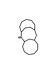 C1CCCC2CC(CC1)NC1CCCCCC(CC1)S2